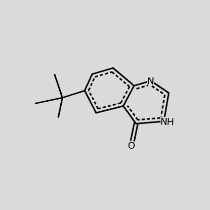 CC(C)(C)c1ccc2nc[nH]c(=O)c2c1